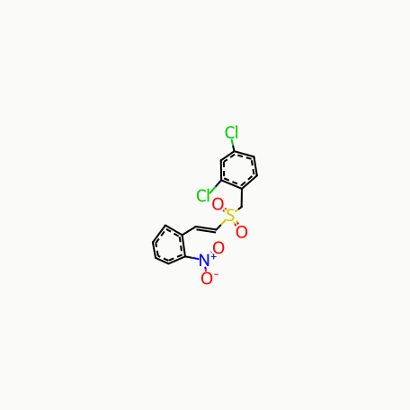 O=[N+]([O-])c1ccccc1C=CS(=O)(=O)Cc1ccc(Cl)cc1Cl